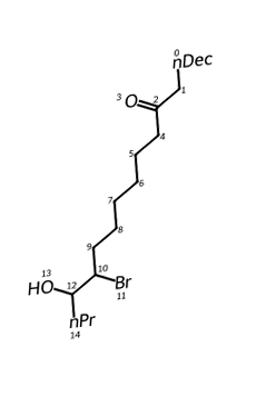 CCCCCCCCCCCC(=O)CCCCCCC(Br)C(O)CCC